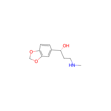 CNCC[C@@H](O)c1ccc2c(c1)OCO2